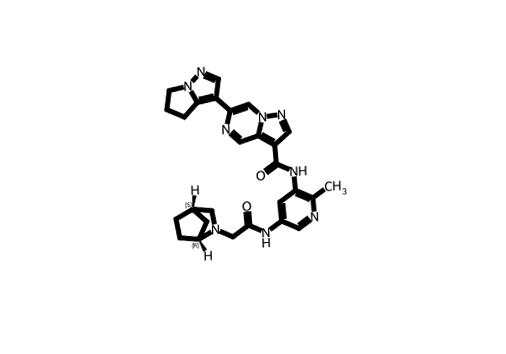 Cc1ncc(NC(=O)CN2C[C@H]3CC[C@@H]2C3)cc1NC(=O)c1cnn2cc(-c3cnn4c3CCC4)ncc12